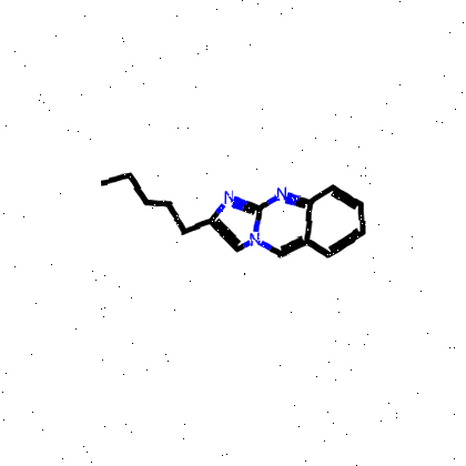 CCCCCc1cn2cc3ccccc3nc2n1